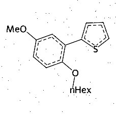 CCCCCCOc1ccc(OC)cc1-c1cccs1